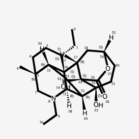 CC[C@H]1CC[C@@]2(C)CN(CC)[C@@H]3[C@@H]4[C@@H](O)[C@H]2[C@@]13[C@@H]1C[C@@H]2CC[C@@]4(O)[C@H]1C(=O)O2